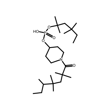 CCC(C)C(C)(C)CC(C)(C)C(=O)N1CCC(OP(=O)(O)OC(C)(C)CC(C)(C)CC)CC1